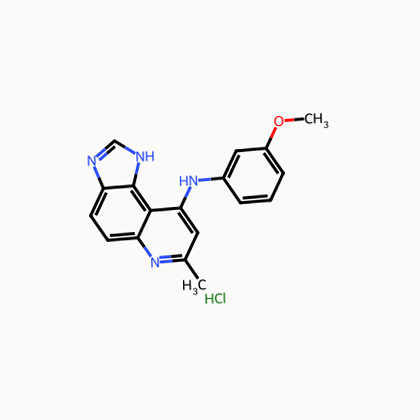 COc1cccc(Nc2cc(C)nc3ccc4nc[nH]c4c23)c1.Cl